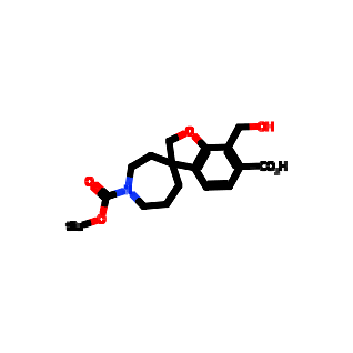 CC(C)(C)OC(=O)N1CCCC2(CC1)COc1c2ccc(C(=O)O)c1CO